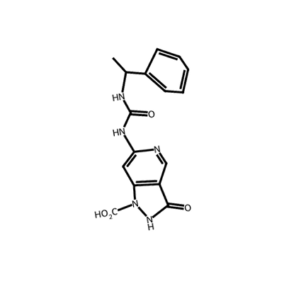 CC(NC(=O)Nc1cc2c(cn1)c(=O)[nH]n2C(=O)O)c1ccccc1